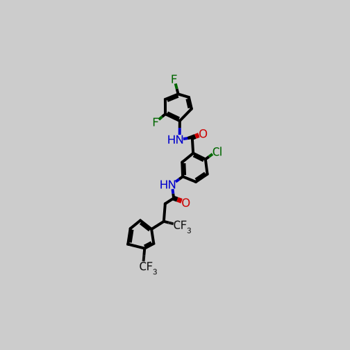 O=C(CC(c1cccc(C(F)(F)F)c1)C(F)(F)F)Nc1ccc(Cl)c(C(=O)Nc2ccc(F)cc2F)c1